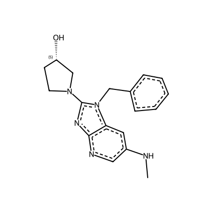 CNc1cnc2nc(N3CC[C@H](O)C3)n(Cc3ccccc3)c2c1